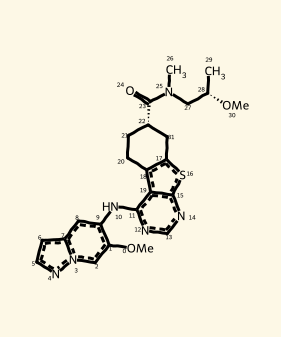 COc1cn2nccc2cc1Nc1ncnc2sc3c(c12)CC[C@H](C(=O)N(C)C[C@H](C)OC)C3